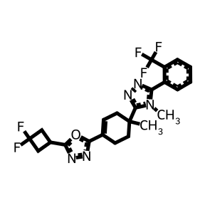 Cn1c(-c2ccccc2C(F)(F)F)nnc1C1(C)CC=C(c2nnc(C3CC(F)(F)C3)o2)CC1